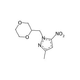 Cc1cc([N+](=O)[O-])n(CC2COCCO2)n1